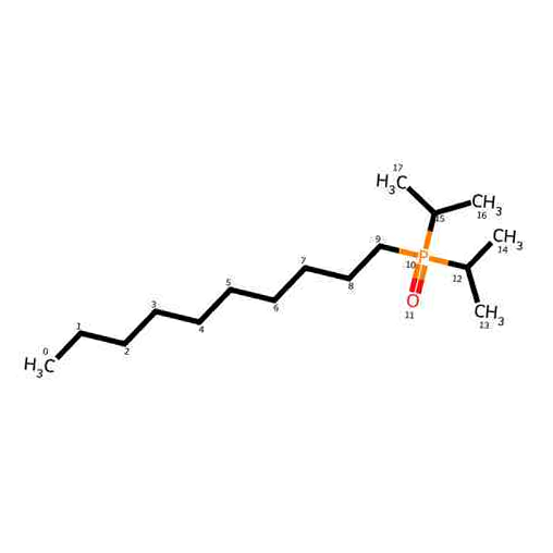 CCCCCCCCCCP(=O)(C(C)C)C(C)C